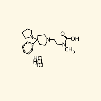 CN(CCN1CCC(c2ccccc2)(N2CCCC2)CC1)C(=O)O.Cl.Cl.Cl